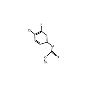 CC(C)(C)OC(=O)Nc1ccc(Cl)c(F)c1